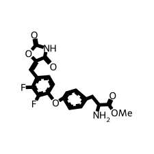 COC(=O)C(N)Cc1ccc(Oc2ccc(/C=C3/OC(=O)NC3=O)c(F)c2F)cc1